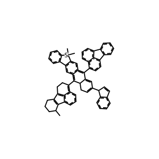 CC1CCCC2=C1c1cccc3c1=C2CCC=3C1=c2cc3c(cc2=C(c2ccc4c5c(cccc25)-c2ccccc2-4)C2=CC(C4C=Cc5ccccc54)=CCC21)[Si](C)(C)c1ccccc1-3